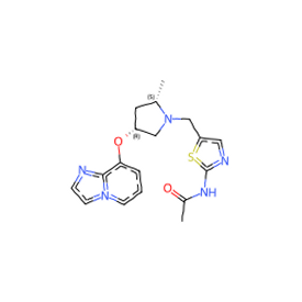 CC(=O)Nc1ncc(CN2C[C@H](Oc3cccn4ccnc34)C[C@@H]2C)s1